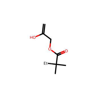 C=C(O)COC(=O)C(C)(C)CC